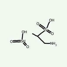 CC(CN)S(=O)(=O)O.O=[SH](=O)O